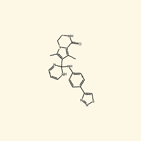 Cc1c(C2(Nc3ccc(-c4csnn4)cc3)N=CC=CN2)c(C)n2c1C(=O)NCC2